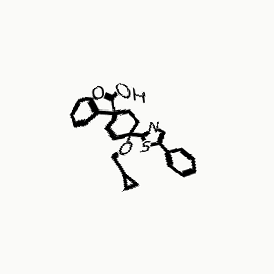 O=C(O)[C@]1(c2ccccc2)CC[C@@](OCC2CC2)(c2ncc(-c3ccccc3)s2)CC1